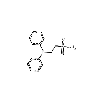 NS(=O)(=O)CCP(c1ccccc1)c1ccccc1